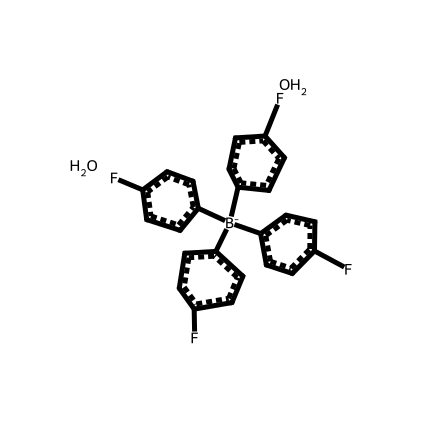 Fc1ccc([B-](c2ccc(F)cc2)(c2ccc(F)cc2)c2ccc(F)cc2)cc1.O.O